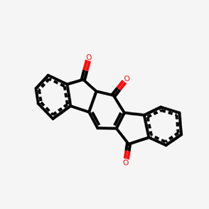 O=C1C2=C(C(=O)C3C(=O)c4ccccc4C3=C2)c2ccccc21